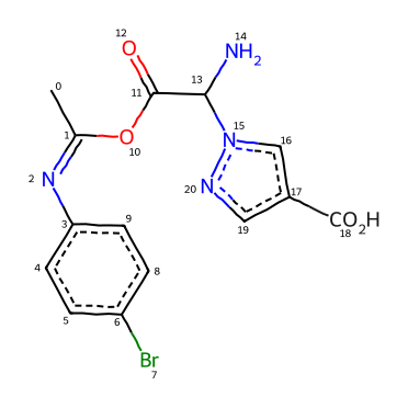 CC(=Nc1ccc(Br)cc1)OC(=O)C(N)n1cc(C(=O)O)cn1